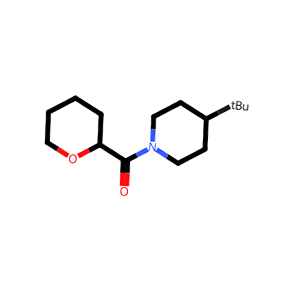 CC(C)(C)C1CCN(C(=O)C2CCCCO2)CC1